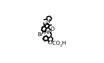 Cc1c(N2CCCCC2C)nc2ccc(Br)cc2c1C(=O)NCC(CCC(=O)O)c1ccccc1Cl